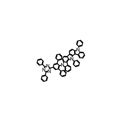 c1ccc(-c2nc(-c3ccccc3)nc(-c3cc(-c4ccccc4)c(-n4c5ccccc5c5c4ccc4c6ccc7c(c8ccccc8n7-c7ccccc7)c6n(-c6ccccc6)c45)c(-c4ccccc4)c3)n2)cc1